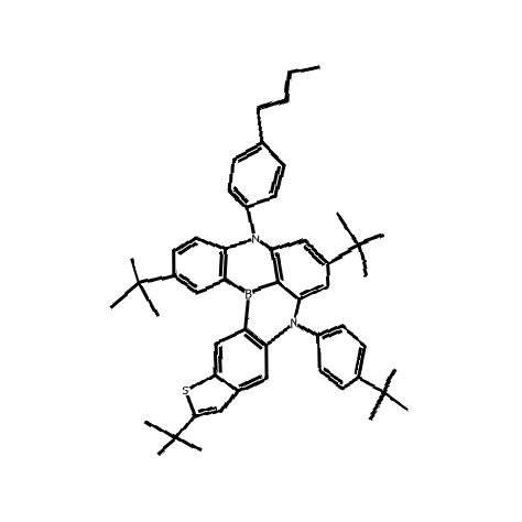 CCCCc1ccc(N2c3ccc(C(C)(C)C)cc3B3c4cc5sc(C(C)(C)C)cc5cc4N(c4ccc(C(C)(C)C)cc4)c4cc(C(C)(C)C)cc2c43)cc1